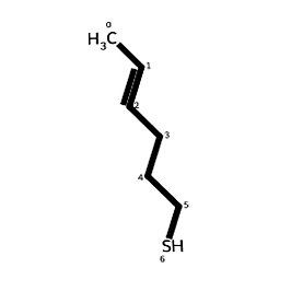 CC=CCCCS